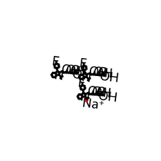 CC(C)n1c(/C=C/[C@@H](O)C[C@@H](O)CC(=O)O)c(-c2ccc(F)cc2)c2ccccc21.CC(C)n1c(/C=C/[C@@H](O)C[C@@H](O)CC(=O)O)c(-c2ccc(F)cc2)c2ccccc21.CC(C)n1c(/C=C/[C@@H](O)C[C@@H](O)CC(=O)[O-])c(-c2ccc(F)cc2)c2ccccc21.[Na+]